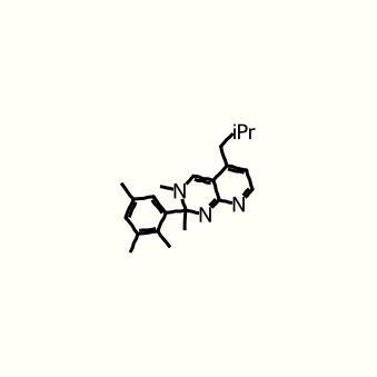 Cc1cc(C)c(C)c(C2(C)N=c3nccc(CC(C)C)c3=CN2C)c1